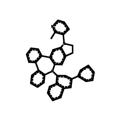 Cc1ncccc1N1CCc2cc3c(cc21)-c1ccccc1-c1ccccc1N3c1cc(-c2ccccc2)cc2ccccc12